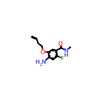 C=CCCOc1cc(C(=O)NC)c(F)cc1N